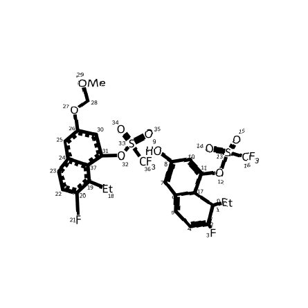 CCC1C(F)=CC=C2C=C(O)C=C(OS(=O)(=O)C(F)(F)F)C21.CCc1c(F)ccc2cc(OCOC)cc(OS(=O)(=O)C(F)(F)F)c12